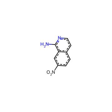 Nc1nccc2ccc([N+](=O)[O-])cc12